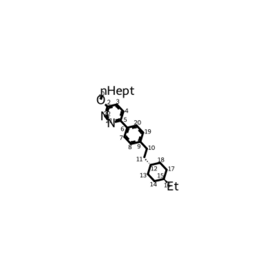 CCCCCCCOc1ccc(-c2ccc(CC[C@H]3CC[C@H](CC)CC3)cc2)nn1